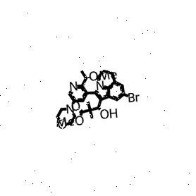 COC(=O)C(C)(C)C(O)c1c(-c2cc(N3CCOCC3)cnc2[C@H](C)OC)n2c3c(cc(Br)cc13)CCC2